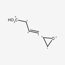 C1CO1.C=CCC(=O)O